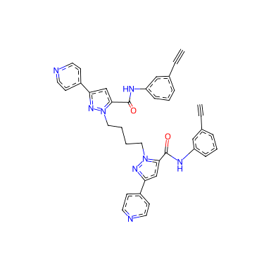 C#Cc1cccc(NC(=O)c2cc(-c3ccncc3)nn2CCCCn2nc(-c3ccncc3)cc2C(=O)Nc2cccc(C#C)c2)c1